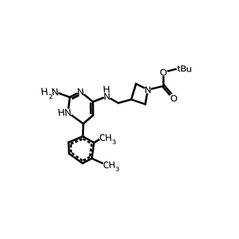 Cc1cccc(C2C=C(NCC3CN(C(=O)OC(C)(C)C)C3)N=C(N)N2)c1C